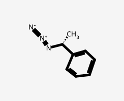 C[C@@H](N=[N+]=[N-])c1ccccc1